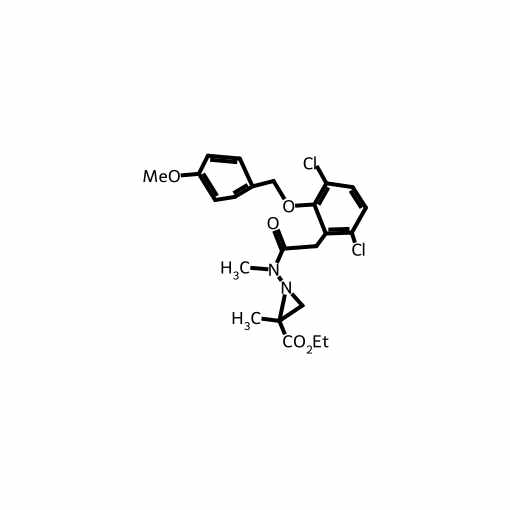 CCOC(=O)C1(C)CN1N(C)C(=O)Cc1c(Cl)ccc(Cl)c1OCc1ccc(OC)cc1